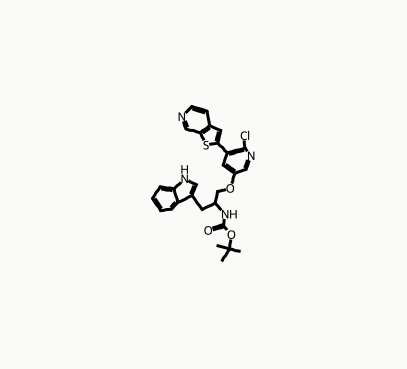 CC(C)(C)OC(=O)NC(COc1cnc(Cl)c(-c2cc3ccncc3s2)c1)Cc1c[nH]c2ccccc12